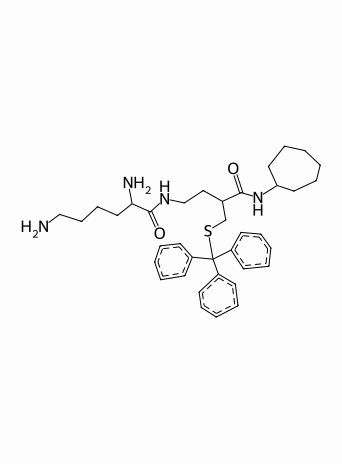 NCCCCC(N)C(=O)NCCC(CSC(c1ccccc1)(c1ccccc1)c1ccccc1)C(=O)NC1CCCCCC1